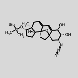 CC(C)(C)[Si](C)(C)O[C@H]1CC[C@@H]2[C@]1(C)CC=C1C=C3[C@@H](O)[C@H](O)[C@H](N=[N+]=[N-])C[C@]34CC[C@@]12O4